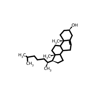 CC(C)CCC[C@H](C)[C@@H]1CCC2C3CC=C4C[C@H](O)CC[C@@]4(C)C3CC[C@]21C